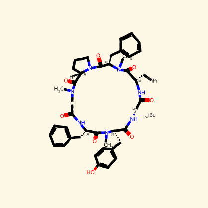 CC[C@H](C)[C@@H]1NC(=O)[C@H](Cc2ccc(O)cc2)N(C)C(=O)[C@H](Cc2ccccc2)NC(=O)CN(C)C(=O)[C@@H]2CCCN2C(=O)[C@@H](Cc2ccccc2)N(C)C(=O)[C@H](CC(C)C)NC1=O